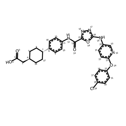 O=C(O)C[C@H]1CC[C@H](c2ccc(NC(=O)c3nnc(Nc4ccc(Oc5ccc(Cl)cc5)nc4)o3)cc2)CC1